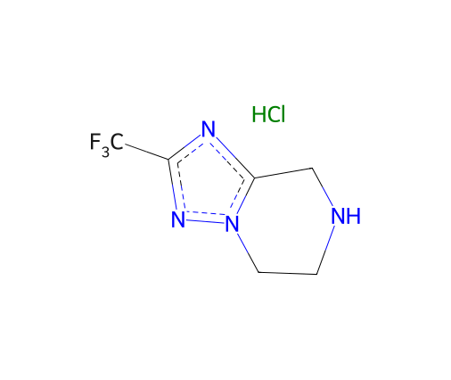 Cl.FC(F)(F)c1nc2n(n1)CCNC2